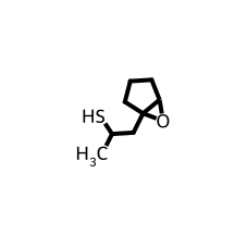 CC(S)CC12CCCC1O2